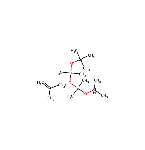 C=C(C)C(=O)O.C[SiH](C)O[Si](C)(C)O[Si](C)(C)O[Si](C)(C)C